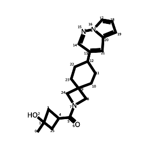 CC1(O)CC(C(=O)N2CC3(CCC(c4cnn5cccc5c4)CC3)C2)C1